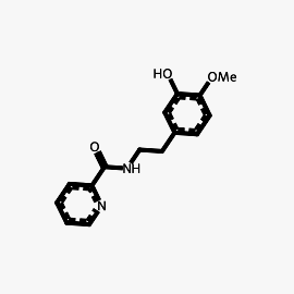 COc1ccc(CCNC(=O)c2ccccn2)cc1O